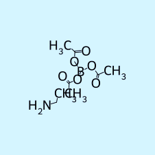 CC(=O)OB(OC(C)=O)OC(C)=O.CCN